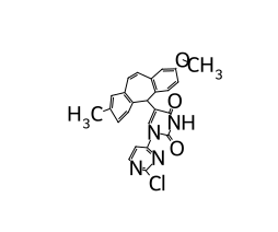 COc1ccc2c(c1)C=Cc1cc(C)ccc1C2c1cn(-c2ccnc(Cl)n2)c(=O)[nH]c1=O